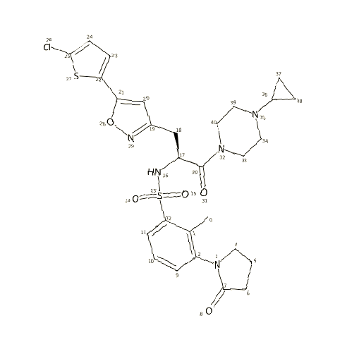 Cc1c(N2CCCC2=O)cccc1S(=O)(=O)N[C@@H](Cc1cc(-c2ccc(Cl)s2)on1)C(=O)N1CCN(C2CC2)CC1